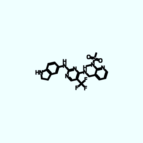 CN(c1ncccc1CNc1nc(Nc2ccc3c(c2)CCN3)ncc1C(F)(F)F)S(C)(=O)=O